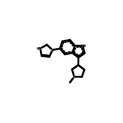 CN1CCC(c2c[nH]c3ccc(N4C=CNC4)cc23)C1